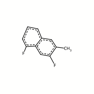 Cc1cc2cccc(F)c2cc1F